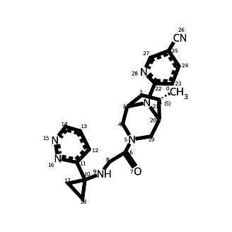 C[C@H]1CC2CN(C(=O)CNC3(c4cccnn4)CC3)CC1N2c1ccc(C#N)cn1